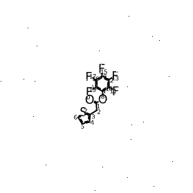 O=C(Cc1cccs1)Oc1c(F)c(F)c(F)c(F)c1F